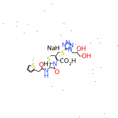 O=C(Cc1cccs1)NC1C(=O)N2C(C(=O)O)=C(CSc3nnnn3CC(O)CO)CS[C@H]12.[NaH]